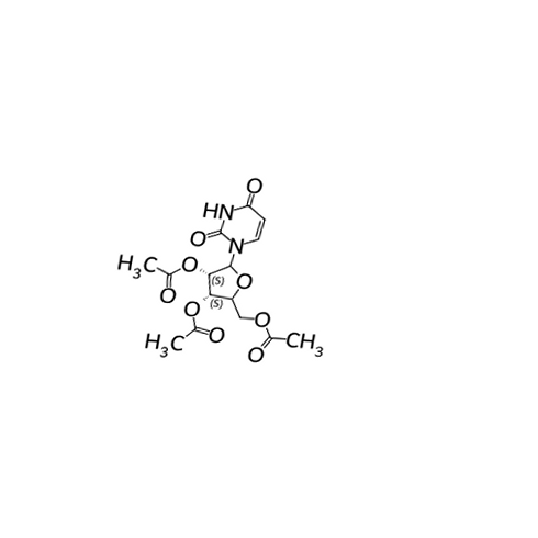 CC(=O)OCC1OC(n2ccc(=O)[nH]c2=O)[C@@H](OC(C)=O)[C@H]1OC(C)=O